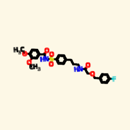 COc1ccc(C(=O)NS(=O)(=O)c2ccc(CCCNC(=O)COCc3ccc(F)cc3)cc2)cc1OC